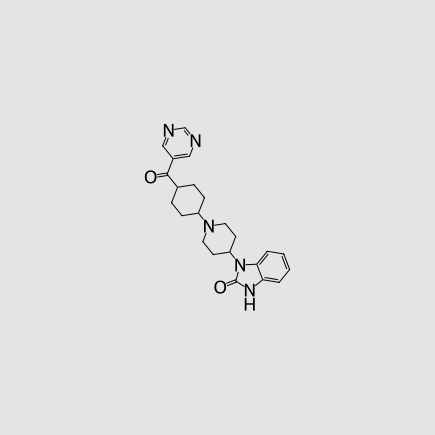 O=C(c1cncnc1)C1CCC(N2CCC(n3c(=O)[nH]c4ccccc43)CC2)CC1